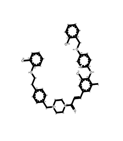 Cc1cc(C=CC(=O)N2CCN(Cc3ccc(CCOc4ccccc4Cl)cc3)CC2)cc(Cl)c1Oc1ccc(OCc2ccccc2Cl)cn1